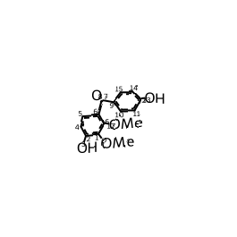 COc1c(O)ccc(C(=O)c2ccc(O)cc2)c1OC